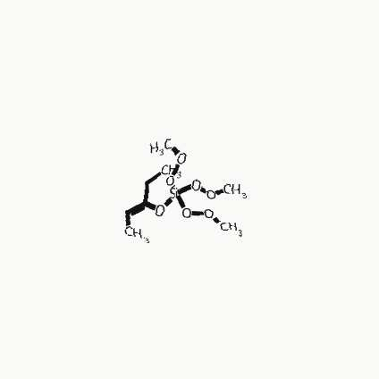 CC=C(CC)O[Si](OOC)(OOC)OOC